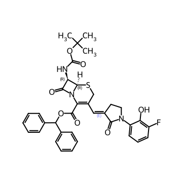 CC(C)(C)OC(=O)N[C@@H]1C(=O)N2C(C(=O)OC(c3ccccc3)c3ccccc3)=C(/C=C3\CCN(c4cccc(F)c4O)C3=O)CS[C@H]12